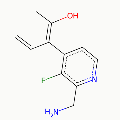 C=C/C(=C(\C)O)c1ccnc(CN)c1F